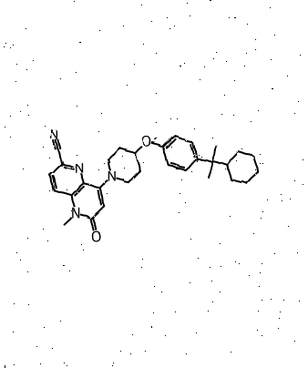 Cn1c(=O)cc(N2CCC(Oc3ccc(C(C)(C)C4CCCCC4)cc3)CC2)c2nc(C#N)ccc21